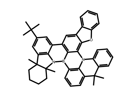 CC(C)(C)c1cc2c3c(c1)C1(C)CCCCC1(C)N3B1c3cccc4c3N(c3ccccc3C4(C)C)c3c1c-2cc1c3oc2ccccc21